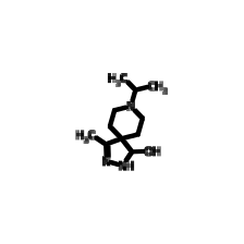 CC1=NNC(O)C12CCN(C(C)C)CC2